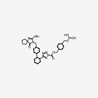 CCCCC1=NC2(CCCC2)C(=O)N1Cc1ccc(-c2ccccc2-c2nnn(C(=O)OCc3ccc(CON(O)O)cc3)n2)cc1